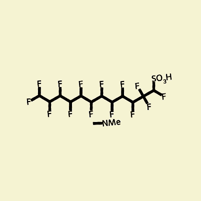 CNC.O=S(=O)(O)C(F)C(F)(F)C(F)C(F)C(F)C(F)C(F)C(F)C(F)C(F)C(F)C(F)F